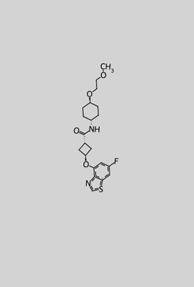 COCCO[C@H]1CC[C@H](NC(=O)[C@H]2C[C@H](Oc3cc(F)cc4scnc34)C2)CC1